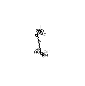 CC(=O)O[N+]1(Cc2cccc(CCCCOCCCCCCNCC(O)c3ccc(O)c(CO)c3)c2)CC(=O)NC1=O